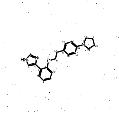 c1ccc(-c2c[nH]cn2)c(OCCc2ccc(N3CCCC3)cc2)c1